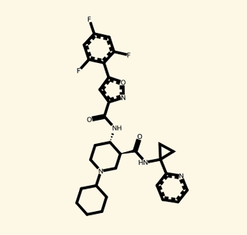 O=C(N[C@H]1CCN(C2CCCCC2)C[C@@H]1C(=O)NC1(c2ccccn2)CC1)c1cc(-c2c(F)cc(F)cc2F)on1